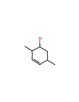 CC1C=CC(C)C(Br)C1